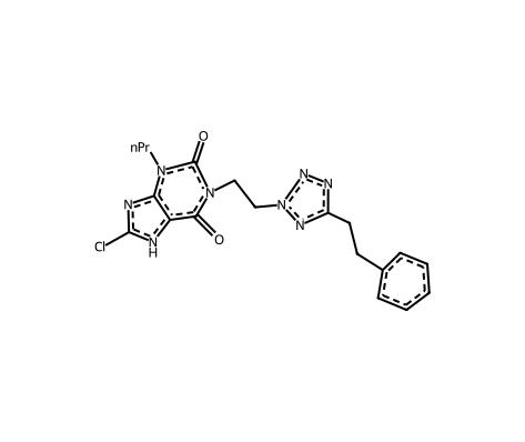 CCCn1c(=O)n(CCn2nnc(CCc3ccccc3)n2)c(=O)c2[nH]c(Cl)nc21